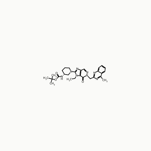 CCn1c(N2CCC[C@@H](NC(=O)OC(C)(C)C)C2)nc2cnn(Cc3nc(C)c4ccccc4n3)c(=O)c21